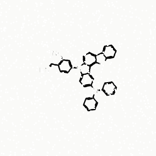 N#Cc1cc(-n2c3ccc(N(c4ccccc4)c4ccccc4)cc3c3c4oc5ccccc5c4ccc32)ccc1C=N